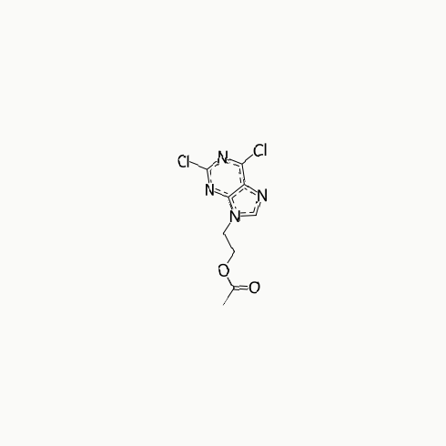 CC(=O)OCCn1cnc2c(Cl)nc(Cl)nc21